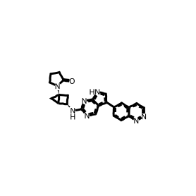 O=C1CCCN1[C@@]12CC1[C@@H](Nc1ncc3c(-c4ccc5nnccc5c4)c[nH]c3n1)C2